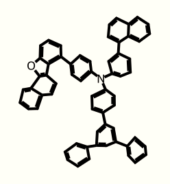 c1ccc(-c2cc(-c3ccccc3)cc(-c3ccc(N(c4ccc(-c5cccc6oc7c8ccccc8ccc7c56)cc4)c4cccc(-c5cccc6ccccc56)c4)cc3)c2)cc1